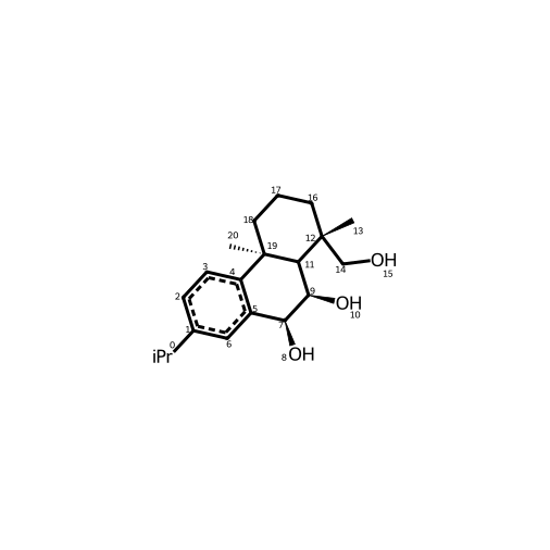 CC(C)c1ccc2c(c1)[C@H](O)[C@H](O)C1[C@@](C)(CO)CCC[C@]21C